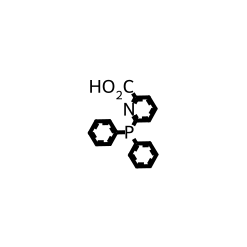 O=C(O)c1cccc(P(c2ccccc2)c2ccccc2)n1